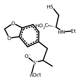 CCCCCCCC[S+]([O-])C(C)Cc1ccc2c(c1)OCO2.CCN[C@@H](CS)C(=O)O